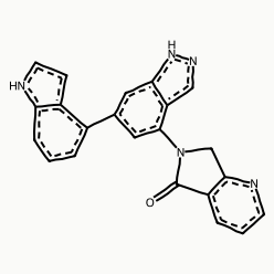 O=C1c2cccnc2CN1c1cc(-c2cccc3[nH]ccc23)cc2[nH]ncc12